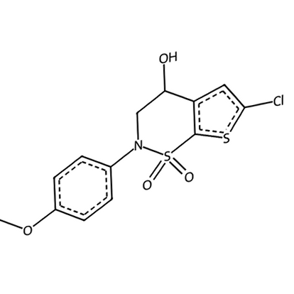 COc1ccc(N2CC(O)c3cc(Cl)sc3S2(=O)=O)cc1